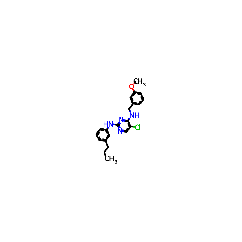 CCCc1cccc(Nc2ncc(Cl)c(NCc3cccc(OC)c3)n2)c1